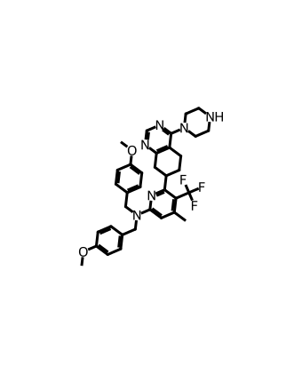 COc1ccc(CN(Cc2ccc(OC)cc2)c2cc(C)c(C(F)(F)F)c(C3CCc4c(ncnc4N4CCNCC4)C3)n2)cc1